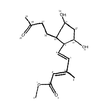 COC(=O)C=C(C)C=CC1C(O)CC(O)C1CCC(C)=O